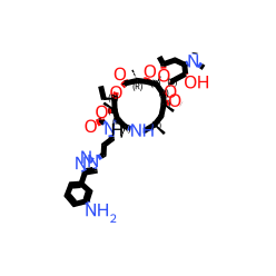 CC[C@H]1OC(=O)[C@H](C)C(=O)[C@H](C)[C@@H](O[C@@H]2OC(C)CC(N(C)C)C2O)[C@](C)(OC)C[C@@H](C)CN[C@H](C)[C@H]2N(CCCn3cc(-c4cccc(N)c4)nn3)C(=O)O[C@]12C